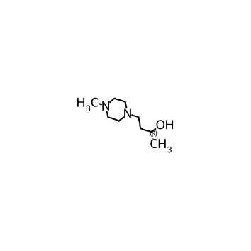 C[C@@H](O)CCN1CCN(C)CC1